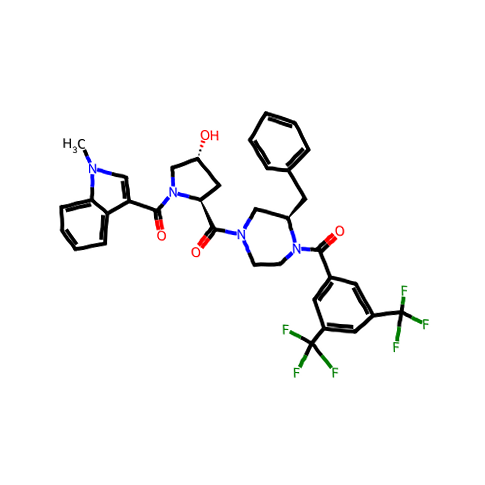 Cn1cc(C(=O)N2C[C@H](O)C[C@H]2C(=O)N2CCN(C(=O)c3cc(C(F)(F)F)cc(C(F)(F)F)c3)[C@H](Cc3ccccc3)C2)c2ccccc21